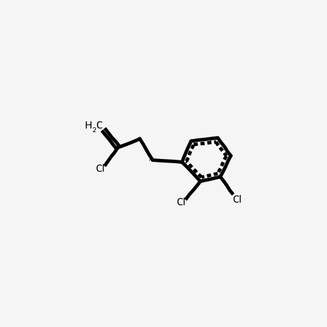 C=C(Cl)C[CH]c1cccc(Cl)c1Cl